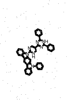 C1=C(C2=NC(c3ccccc3)NC(c3ccccc3)=N2)CNC(n2c3ccccc3c3cc4c5ccccc5n(-c5ccccc5)c4cc32)=N1